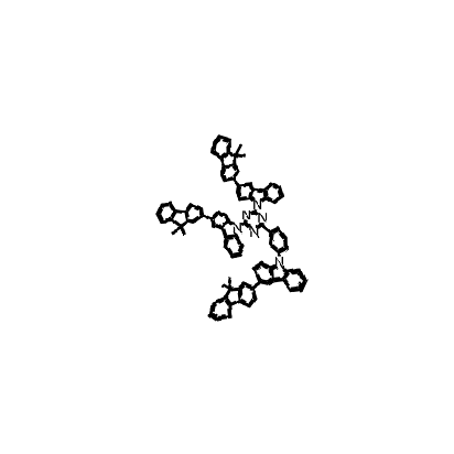 CC1(C)c2ccccc2-c2ccc(-c3ccc4c(c3)c3ccccc3n4-c3cccc(-c4nc(-n5c6ccccc6c6cc(-c7ccc8c(c7)C(C)(C)c7ccccc7-8)ccc65)nc(-n5c6ccccc6c6cc(-c7ccc8c(c7)C(C)(C)c7ccccc7-8)ccc65)n4)c3)cc21